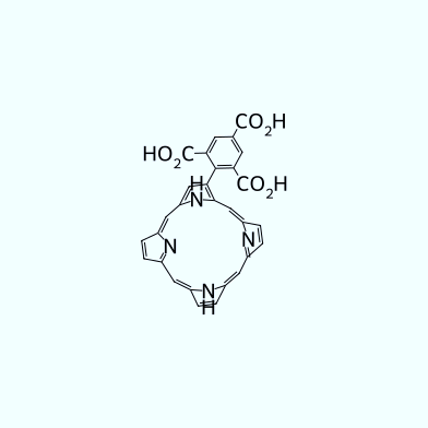 O=C(O)c1cc(C(=O)O)c(-c2cc3cc4nc(cc5ccc(cc6nc(cc2[nH]3)C=C6)[nH]5)C=C4)c(C(=O)O)c1